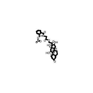 C[C@]12C=CC(=O)C=C1CC[C@H]1[C@@H]3C[C@@H](O)[C@](O)(C(=O)COC(=O)CNC(=O)c4ccccc4CO[N+](=O)[O-])[C@@]3(C)C[C@H](O)[C@@]12F